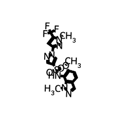 COc1ccc2cnn(C)c2c1NS(=O)(=O)c1cnn(-c2cc(C(F)(F)F)n(C)n2)c1